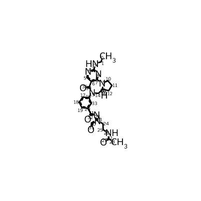 CCNc1ncc2c(n1)N1CCC[C@H]1CN(c1cccc(-c3nn(CCNC(C)=O)c(=O)o3)c1)C2=O